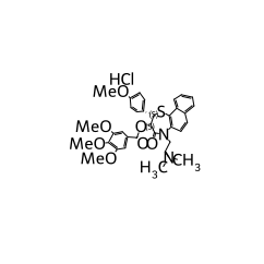 COc1ccc([C@@H]2Sc3c(ccc4ccccc34)N(CCN(C)C)C(=O)[C@@H]2OC(=O)c2cc(OC)c(OC)c(OC)c2)cc1.Cl